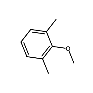 COc1c(C)c[c]cc1C